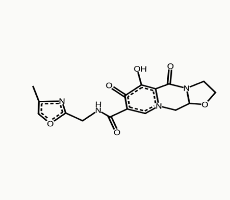 Cc1coc(CNC(=O)c2cn3c(c(O)c2=O)C(=O)N2CCOC2C3)n1